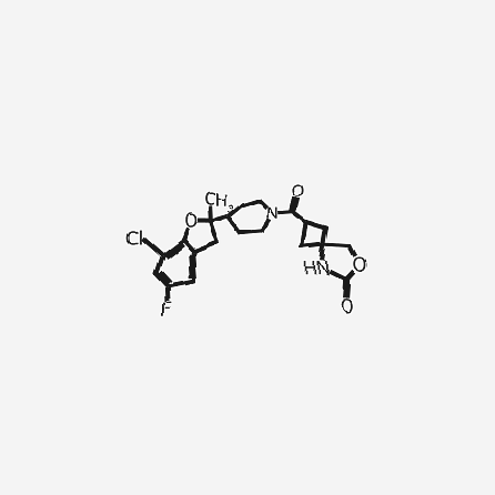 CC1(C2CCN(C(=O)C3CC4(COC(=O)N4)C3)CC2)Cc2cc(F)cc(Cl)c2O1